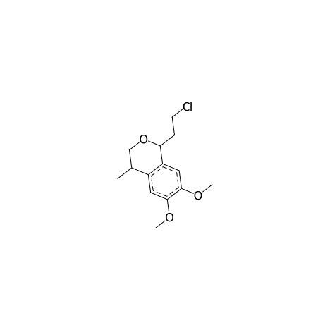 COc1cc2c(cc1OC)C(CCCl)OCC2C